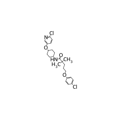 CC(C)(CCCOc1ccc(Cl)cc1)C(=O)N[C@H]1CC[C@H](Oc2ccc(Cl)nc2)CC1